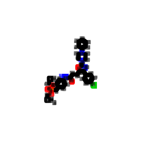 CCOP(=O)(Cc1ccc(NC(=O)CCc2oc(N3CCN(c4ccccc4)CC3)nc2-c2ccc(Cl)cc2)cc1)OCC